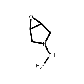 PPN1CC2OC2C1